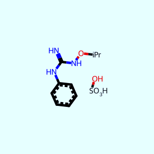 CC(C)ONC(=N)Nc1ccccc1.O=S(=O)(O)O